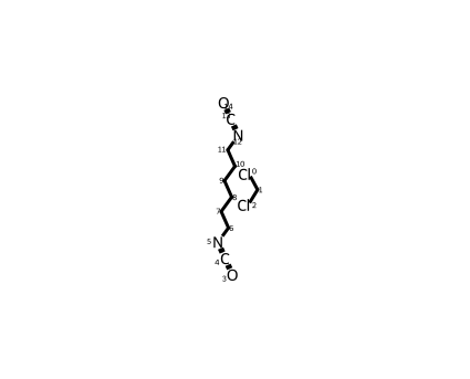 ClCCl.O=C=NCCCCCCN=C=O